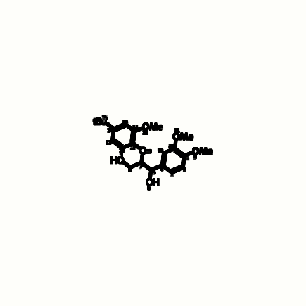 COc1ccc(C(O)C(CO)Oc2ccc(C(C)(C)C)cc2OC)cc1OC